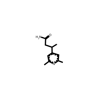 [CH2]C(CC(N)=O)c1cc(C)nc(C)c1